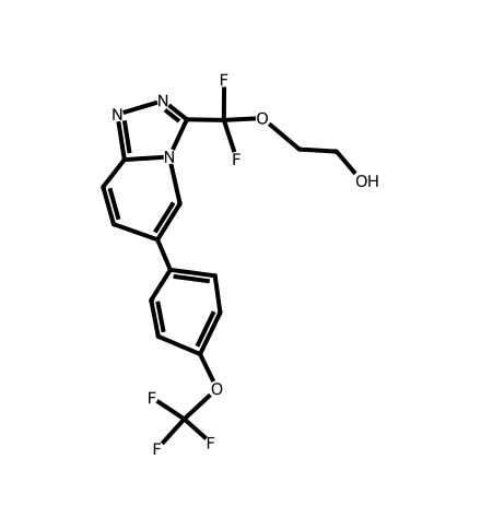 OCCOC(F)(F)c1nnc2ccc(-c3ccc(OC(F)(F)F)cc3)cn12